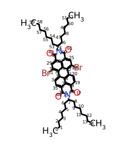 CCCCCCCC(CCCCCCC)N1C(=O)c2ccc3c4c(Br)cc5c6c(cc(Br)c(c7ccc(c2c37)C1=O)c64)C(=O)N(C(CCCCCCC)CCCCCCC)C5=O